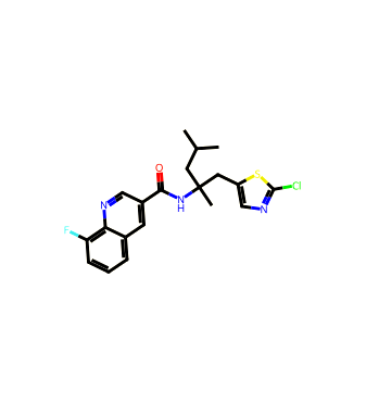 CC(C)CC(C)(Cc1cnc(Cl)s1)NC(=O)c1cnc2c(F)cccc2c1